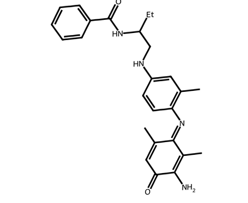 CCC(CNc1ccc(N=C2C(C)=CC(=O)C(N)=C2C)c(C)c1)NC(=O)c1ccccc1